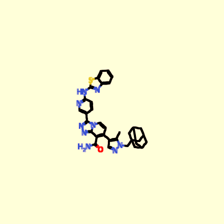 Cc1c(-c2ccn3c(-c4ccc(Nc5nc6ccccc6s5)nc4)nnc3c2C(N)=O)cnn1CC12CC3CC(CC(C3)C1)C2